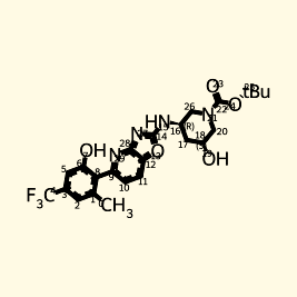 Cc1cc(C(F)(F)F)cc(O)c1-c1ccc2oc(N[C@@H]3C[C@H](O)CN(C(=O)OC(C)(C)C)C3)nc2n1